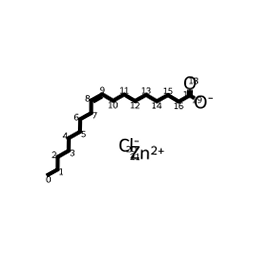 CCCCCCCC/C=C\CCCCCCCC(=O)[O-].[Cl-].[Zn+2]